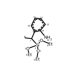 CCO[Si](OCC)(OCC)C(C)c1ccccc1N